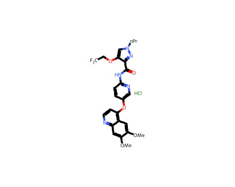 CCCn1cc(OCC(F)(F)F)c(C(=O)Nc2ccc(Oc3ccnc4cc(OC)c(OC)cc34)cn2)n1.Cl